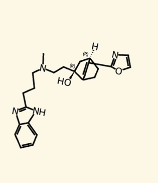 CN(CCCc1nc2ccccc2[nH]1)CC[C@]1(O)C[C@H]2CCC1C=C2c1ncco1